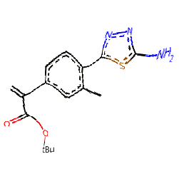 C=C(C(=O)OC(C)(C)C)c1ccc(-c2nnc(N)s2)c(C)c1